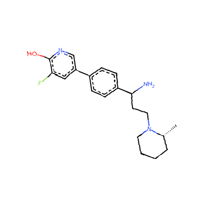 C[C@@H]1CCCCN1CCC(N)c1ccc(-c2cnc(O)c(F)c2)cc1